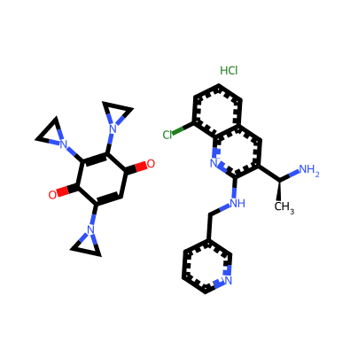 C[C@H](N)c1cc2cccc(Cl)c2nc1NCc1cccnc1.Cl.O=C1C=C(N2CC2)C(=O)C(N2CC2)=C1N1CC1